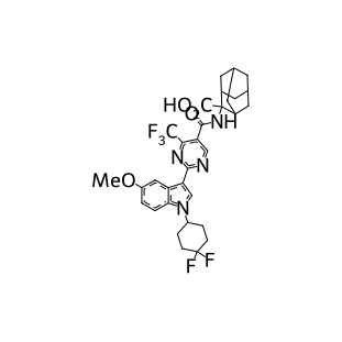 COc1ccc2c(c1)c(-c1ncc(C(=O)NC3(C(=O)O)C4CC5CC(C4)CC3C5)c(C(F)(F)F)n1)cn2C1CCC(F)(F)CC1